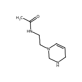 CC(=O)NCCN1C=CCNC1